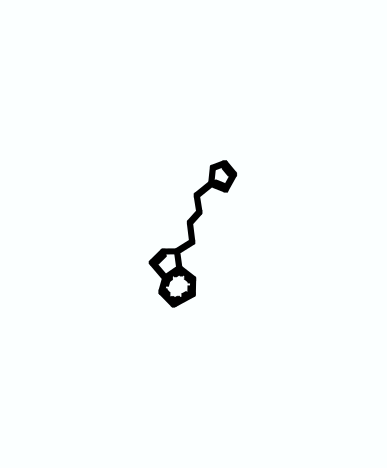 C1=CCC(CCCCC2C=Cc3ccccc32)=C1